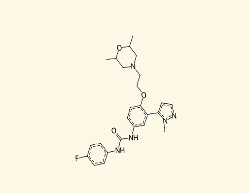 CC1CN(CCOc2ccc(NC(=O)Nc3ccc(F)cc3)cc2-c2ccnn2C)CC(C)O1